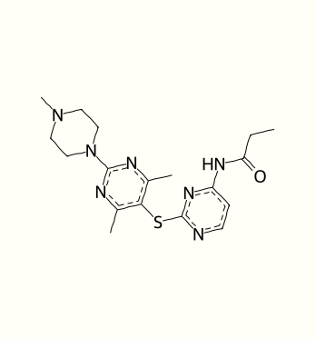 CCC(=O)Nc1ccnc(Sc2c(C)nc(N3CCN(C)CC3)nc2C)n1